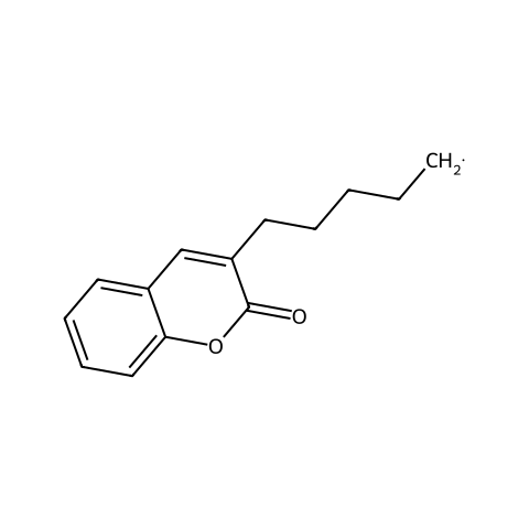 [CH2]CCCCc1cc2ccccc2oc1=O